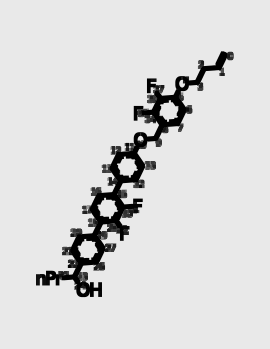 C=CCCOc1ccc(COc2ccc(-c3ccc(-c4ccc(C(O)CCC)cc4)c(F)c3F)cc2)c(F)c1F